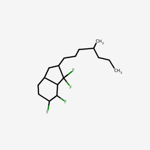 CCCC(C)CCCC1CC2CCC(F)C(F)C2C1(F)F